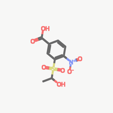 CC(O)S(=O)(=O)c1cc(C(=O)O)ccc1[N+](=O)[O-]